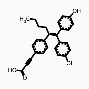 CCCCC(=C(c1ccc(O)cc1)c1ccc(O)cc1)c1ccc(C#CC(=O)O)cc1